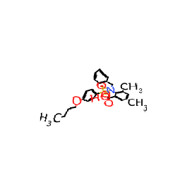 CCCCOc1ccc(S(=O)(=O)N(Cc2ccccc2)c2c(C)cc(C)cc2C(=O)O)cc1